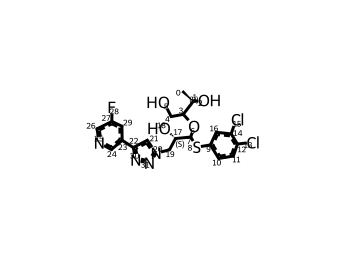 C[C@@H](O)C(CO)OC(Sc1ccc(Cl)c(Cl)c1)[C@@H](O)Cn1cc(-c2cncc(F)c2)nn1